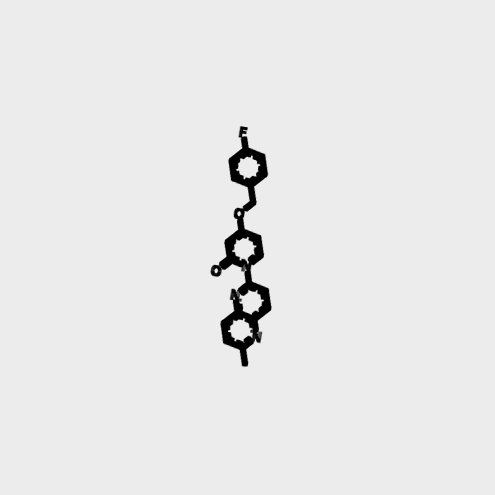 Cc1ccc2nc(-n3ccc(OCc4ccc(F)cc4)cc3=O)ccc2n1